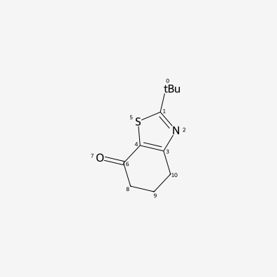 CC(C)(C)c1nc2c(s1)C(=O)CCC2